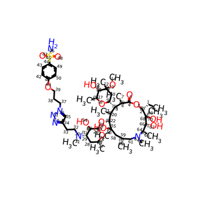 CC[C@H]1OC(=O)[C@H](C)[C@@H](C2C[C@@](C)(OC)[C@@H](O)[C@H](C)O2)[C@H](C)[C@@H](O[C@@H]2O[C@H](C)C[C@H](N(C)CCc3cn(CCCOc4ccc(S(N)(=O)=O)cc4)nn3)[C@H]2O)[C@](C)(O)C[C@@H](C)CN(C)[C@H](C)[C@@H](O)[C@]1(C)O